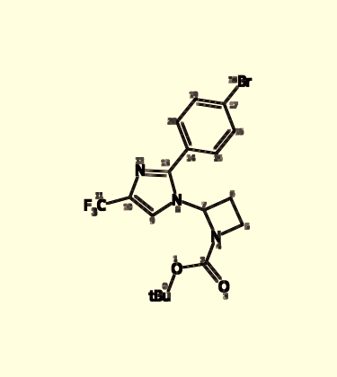 CC(C)(C)OC(=O)N1CCC1n1cc(C(F)(F)F)nc1-c1ccc(Br)cc1